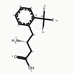 N[C@@H](CC(=O)O)Cc1ccccc1C(F)(F)F